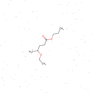 CCCOC(=O)CCC(C)OCC